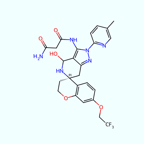 Cc1ccc(-n2nc3c(c2NC(=O)CC(N)=O)C(O)N[C@@]2(CCOc4cc(OCC(F)(F)F)ccc42)C3)nc1